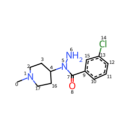 CN1CCC(N(N)C(=O)c2cccc(Cl)c2)CC1